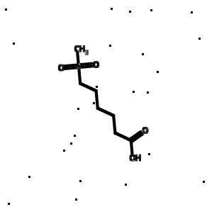 CS(=O)(=O)CCCCCC(=O)O